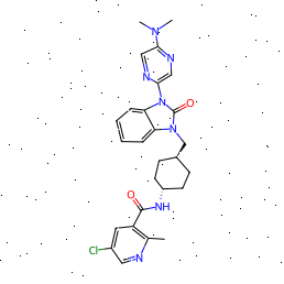 Cc1ncc(Cl)cc1C(=O)N[C@H]1CC[C@H](Cn2c(=O)n(-c3cnc(N(C)C)cn3)c3ccccc32)CC1